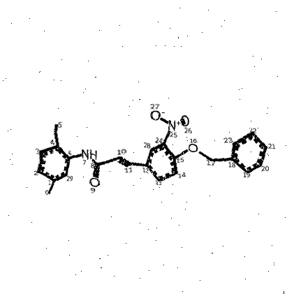 Cc1ccc(C)c(NC(=O)C=Cc2ccc(OCc3ccccc3)c([N+](=O)[O-])c2)c1